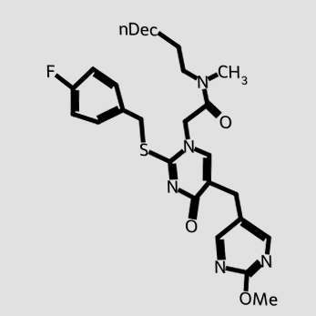 CCCCCCCCCCCCN(C)C(=O)Cn1cc(Cc2cnc(OC)nc2)c(=O)nc1SCc1ccc(F)cc1